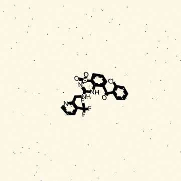 O=C(c1ccccc1Cl)c1cccc2c1NC(NCc1ncccc1C(F)(F)F)=NS2(=O)=O